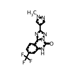 Cn1cc(-c2nc3c4ccc(C(F)(F)F)cc4[nH]c(=O)n3n2)cn1